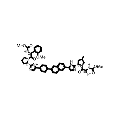 COC(=O)N[C@H](C(=O)N1CC(C)C[C@H]1c1ncc(-c2ccc3cc(-c4ccc(-c5cnc([C@@H]6CCCN6C(=O)[C@H](NC(=O)OC)c6ccccc6OC)[nH]5)cc4)ccc3c2)[nH]1)C(C)C